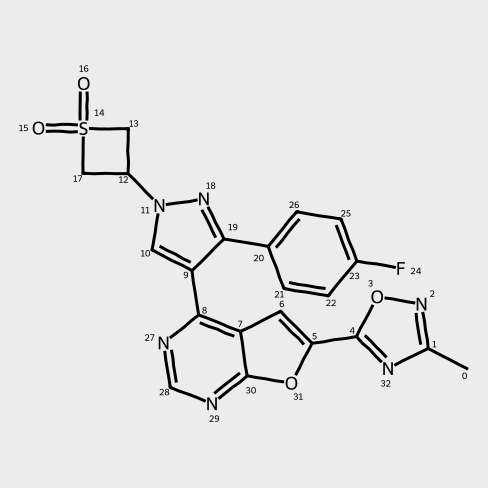 Cc1noc(-c2cc3c(-c4cn(C5CS(=O)(=O)C5)nc4-c4ccc(F)cc4)ncnc3o2)n1